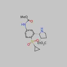 CCOC(=O)[C@H]1CCN[C@H]1c1cc(NC(=O)OC)ccc1S(=O)(=O)C1CC1